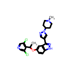 CC(Oc1ccc2[nH]nc(-c3cnn(C4CCN(C)CC4)c3)c2c1)c1c(Cl)cncc1Cl